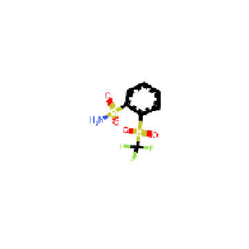 NS(=O)(=O)c1ccccc1S(=O)(=O)C(F)(F)F